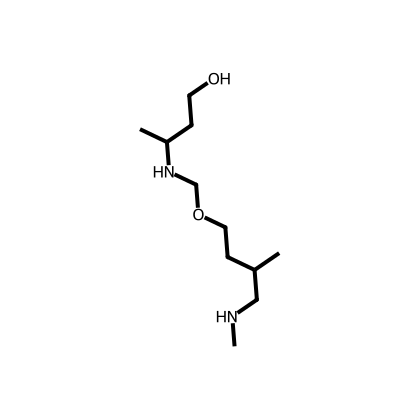 CNCC(C)CCOCNC(C)CCO